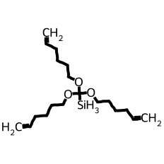 C=CCCCCOC([SiH3])(OCCCCC=C)OCCCCC=C